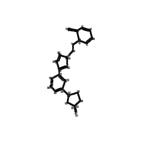 O=c1ccccn1CCn1cc(-c2cncc(N3CC[C@@H](F)C3)n2)nn1